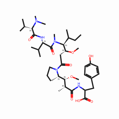 CCC(C)[C@@H]([C@@H](CC(=O)N1CCC[C@H]1[C@H](OC)[C@@H](C)C(=O)NC(Cc1ccc(O)cc1)C(=O)O)OC)N(C)C(=O)[C@@H](NC(=O)[C@H](C(C)C)N(C)C)C(C)C